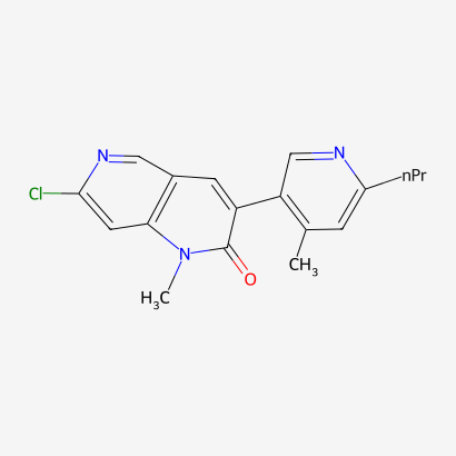 CCCc1cc(C)c(-c2cc3cnc(Cl)cc3n(C)c2=O)cn1